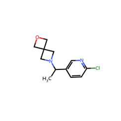 CC(c1ccc(Cl)nc1)N1CC2(COC2)C1